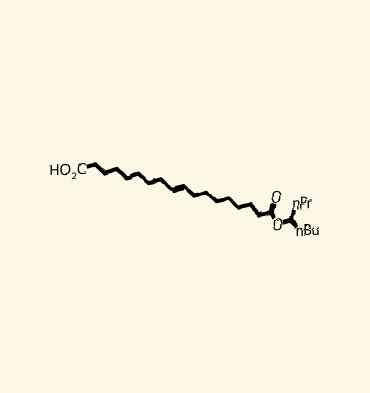 CCCCC(CCC)OC(=O)CCCCCCCC=CCCCCCCCC(=O)O